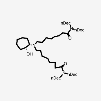 CCCCCCCCCCN(CCCCCCCCCC)C(=O)CCCCCCCN(CCCCCCCC(=O)N(CCCCCCCCCC)CCCCCCCCCC)[C@H]1CCCCC[C@H]1O